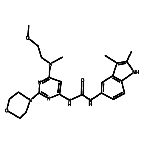 COCCN(C)c1cc(NC(=O)Nc2ccc3[nH]c(C)c(C)c3c2)nc(N2CCOCC2)n1